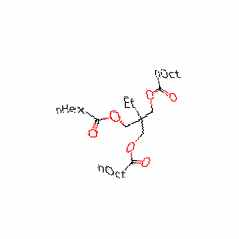 CCCCCCCCC(=O)OCC(CC)(COC(=O)CCCCCC)COC(=O)CCCCCCCC